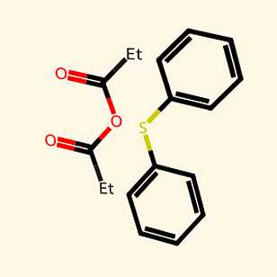 CCC(=O)OC(=O)CC.c1ccc(Sc2ccccc2)cc1